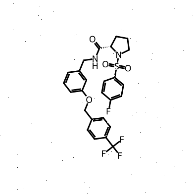 O=C(NCc1cccc(OCc2ccc(C(F)(F)F)cc2)c1)[C@@H]1CCCN1S(=O)(=O)c1ccc(F)cc1